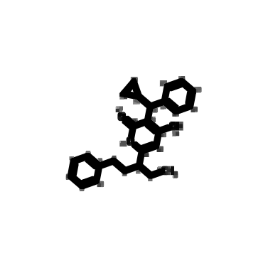 CCC(CCc1ccccc1)c1cc(O)c(C(c2ccccc2)C2CC2)c(=O)o1